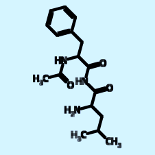 CC(=O)NC(Cc1ccccc1)C(=O)NC(=O)C(N)CC(C)C